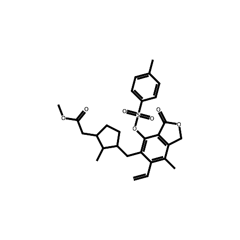 C=Cc1c(C)c2c(c(OS(=O)(=O)c3ccc(C)cc3)c1CC1CCC(CC(=O)OC)C1C)C(=O)OC2